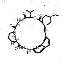 CO[C@H]1CC[C@@]2(/C=C/c3ccc4ccc(nc4c3)[C@@H](C)NC(=O)[C@@H]3CCCN(N3)C(=O)[C@H](C)NC(=O)C(C(C)C)OC2=O)CC1